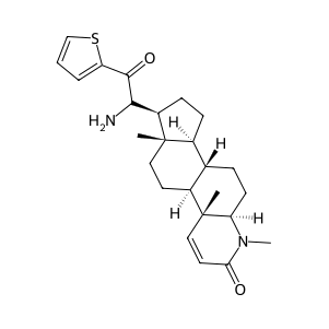 CN1C(=O)C=C[C@]2(C)[C@H]3CC[C@]4(C)[C@@H](C(N)C(=O)c5cccs5)CC[C@H]4[C@@H]3CC[C@@H]12